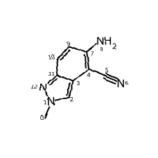 Cn1cc2c(C#N)c(N)ccc2n1